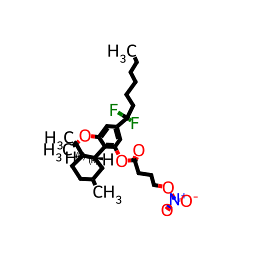 CCCCCCC(F)(F)c1cc(OC(=O)CCCO[N+](=O)[O-])c2c(c1)OC(C)(C)[C@@H]1CCC(C)C[C@@H]21